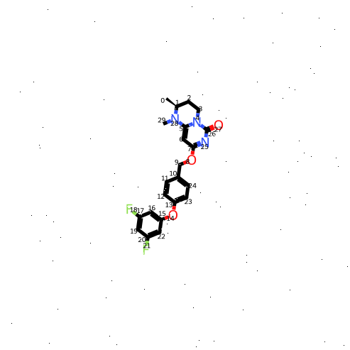 C[C@H]1CCn2c(cc(OCc3ccc(Oc4cc(F)cc(F)c4)cc3)nc2=O)N1C